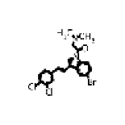 CN(C)CC(=O)n1cc(C=Cc2ccc(Cl)c(Cl)c2)c2cc(Br)ccc21